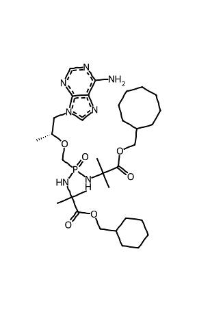 C[C@H](Cn1cnc2c(N)ncnc21)OCP(=O)(NC(C)(C)C(=O)OCC1CCCCCCC1)NC(C)(C)C(=O)OCC1CCCCC1